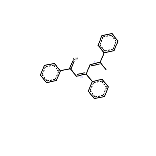 C/C(=C\C(=C/C(=N)c1ccccc1)c1ccccc1)c1ccccc1